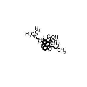 CCCCc1oc2ccccc2c1C(C)(c1cc(I)c(OCCN(CC)CC)c(I)c1)C(C)(C)C(=O)O